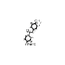 CCCCCC1CCC(C(=O)CC2CCC(C)CC2)CC1